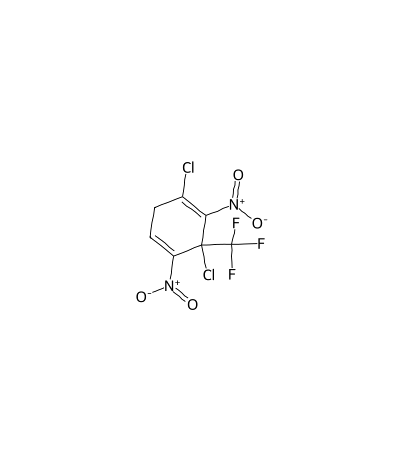 O=[N+]([O-])C1=CCC(Cl)=C([N+](=O)[O-])C1(Cl)C(F)(F)F